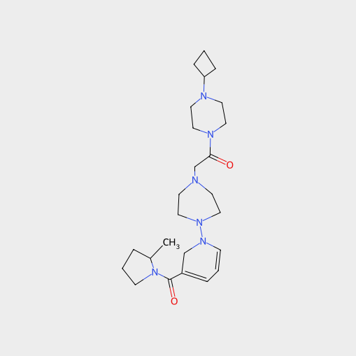 CC1CCCN1C(=O)C1=CC=CN(N2CCN(CC(=O)N3CCN(C4CCC4)CC3)CC2)C1